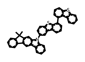 CC1(C)c2ccccc2-c2cc3c4ccccc4n(-c4ccc5sc6c(-c7cccc8sc9ccccc9c78)cccc6c5c4)c3cc21